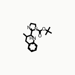 CC1Cc2ccccc2NC1C1=NCCN1C(=O)OC(C)(C)C